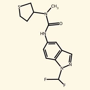 CN(C(=O)Nc1ccc2c(cnn2C(F)F)c1)C1CCSC1